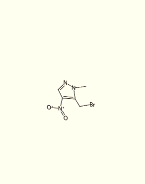 Cn1ncc([N+](=O)[O-])c1CBr